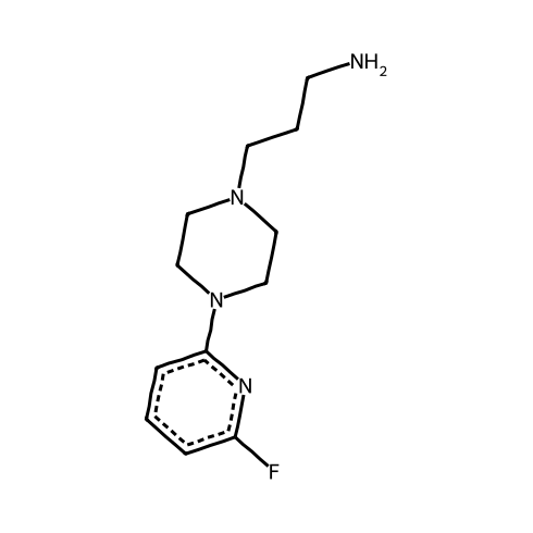 NCCCN1CCN(c2cccc(F)n2)CC1